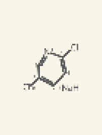 Clc1[c]nc(Cl)cc1.[NaH]